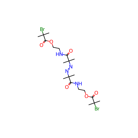 CC(C)(Br)C(=O)OCCNC(=O)C(C)(C)N=NC(C)(C)C(=O)NCCOC(=O)C(C)(C)Br